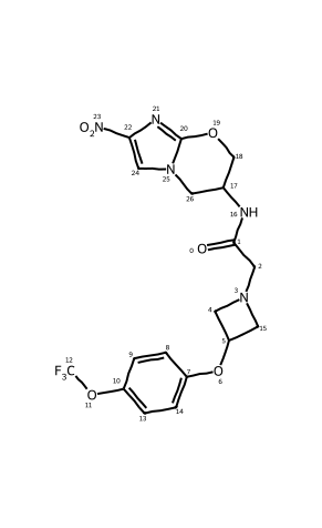 O=C(CN1CC(Oc2ccc(OC(F)(F)F)cc2)C1)NC1COc2nc([N+](=O)[O-])cn2C1